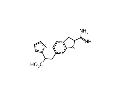 N=C(N)C1Cc2ccc(CC(C(=O)O)c3cccs3)cc2S1